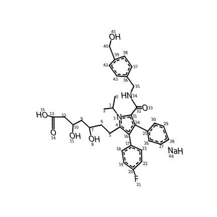 CC(C)n1c(CCC(O)CC(O)CC(=O)O)c(-c2ccc(F)cc2)c(-c2ccccc2)c1C(=O)NCc1ccc(CO)cc1.[NaH]